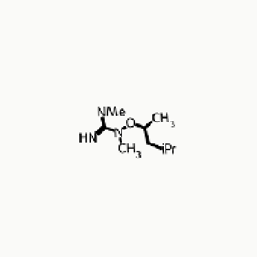 CNC(=N)N(C)OC(C)CC(C)C